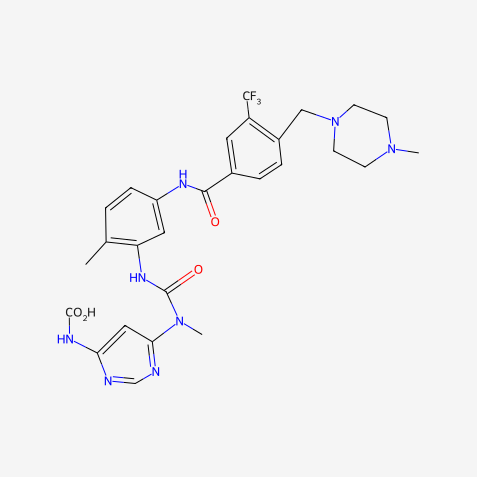 Cc1ccc(NC(=O)c2ccc(CN3CCN(C)CC3)c(C(F)(F)F)c2)cc1NC(=O)N(C)c1cc(NC(=O)O)ncn1